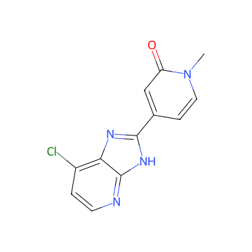 Cn1ccc(-c2nc3c(Cl)ccnc3[nH]2)cc1=O